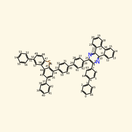 c1ccc(-c2ccc(-c3nc4c5ccccc5c5ccccc5c4nc3-c3ccc(-c4ccc(-c5cc(-c6ccccc6)cc6c5sc5ccc(-c7ccccc7)cc56)cc4)cc3)cc2)cc1